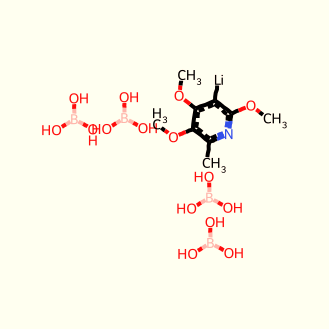 OB(O)O.OB(O)O.OB(O)O.OB(O)O.[Li][c]1c(OC)nc(C)c(OC)c1OC